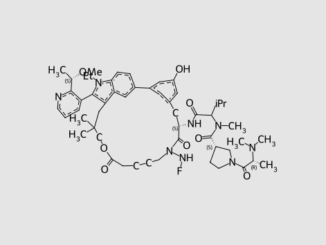 CCn1c(-c2cccnc2[C@H](C)OC)c2c3cc(ccc31)-c1cc(O)cc(c1)C[C@H](NC(=O)C(C(C)C)N(C)C(=O)[C@H]1CCN(C(=O)[C@@H](C)N(C)C)C1)C(=O)N(NF)CCCCC(=O)OCC(C)(C)C2